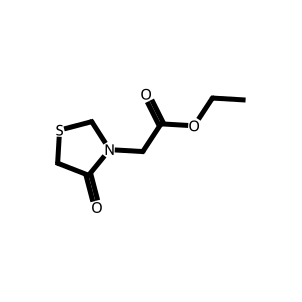 CCOC(=O)CN1CSCC1=O